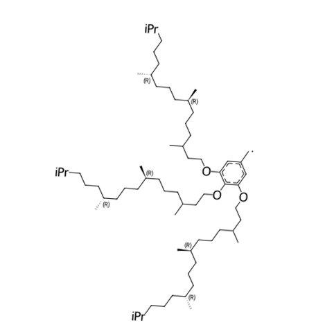 [CH2]c1cc(OCCC(C)CCC[C@H](C)CCC[C@H](C)CCCC(C)C)c(OCCC(C)CCC[C@H](C)CCC[C@H](C)CCCC(C)C)c(OCCC(C)CCC[C@H](C)CCC[C@H](C)CCCC(C)C)c1